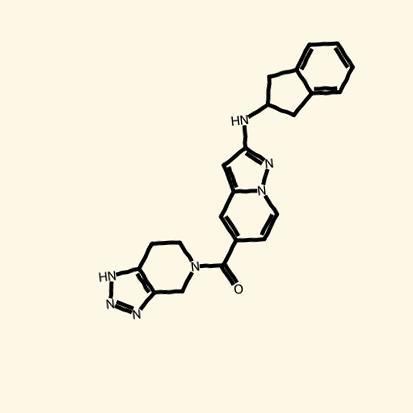 O=C(c1ccn2nc(NC3Cc4ccccc4C3)cc2c1)N1CCc2[nH]nnc2C1